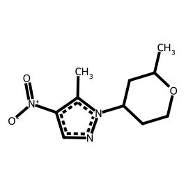 Cc1c([N+](=O)[O-])cnn1C1CCOC(C)C1